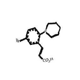 O=C(O)C=Cc1cc(Br)ccc1N1CCCCC1